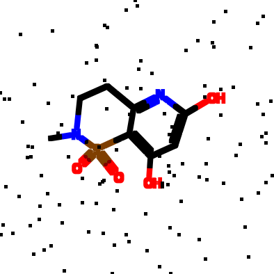 CN1CCc2nc(O)cc(O)c2S1(=O)=O